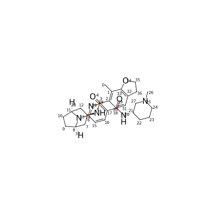 Cc1c(C(=O)N[C@H]2C[C@H]3CC[C@@H](C2)N3c2ccc(C(=O)N[C@H]3CCCN(C)C3)cn2)ccc2c1OCC2